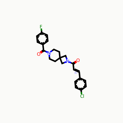 O=C(/C=C/c1ccc(Cl)cc1)N1CC2(CCN(C(=O)c3ccc(F)cc3)CC2)C1